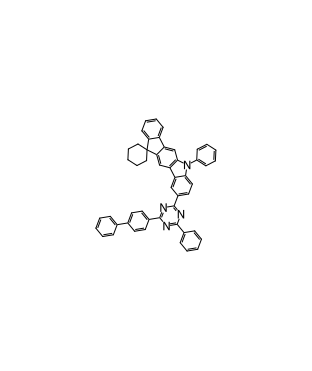 c1ccc(-c2ccc(-c3nc(-c4ccccc4)nc(-c4ccc5c(c4)c4cc6c(cc4n5-c4ccccc4)-c4ccccc4C64CCCCC4)n3)cc2)cc1